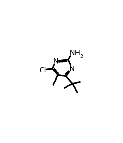 Cc1c(Cl)nc(N)nc1C(C)(C)C